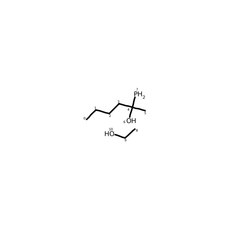 CCCCC(C)(O)P.CCO